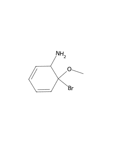 COC1(Br)C=CC=CC1N